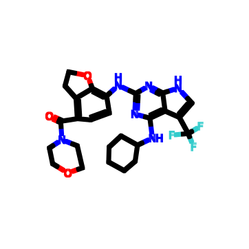 O=C(c1ccc(Nc2nc(NC3CCCCC3)c3c(C(F)(F)F)c[nH]c3n2)c2c1CCO2)N1CCOCC1